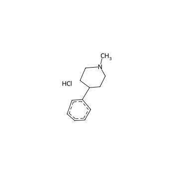 CN1CCC(c2ccccc2)CC1.Cl